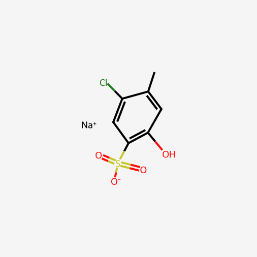 Cc1cc(O)c(S(=O)(=O)[O-])cc1Cl.[Na+]